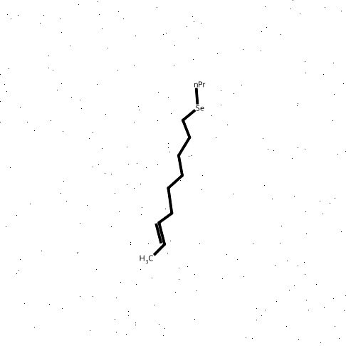 CC=CCCCCCC[Se]CCC